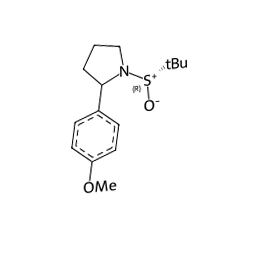 COc1ccc(C2CCCN2[S@@+]([O-])C(C)(C)C)cc1